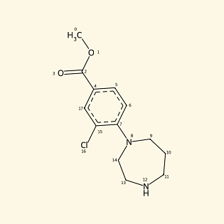 COC(=O)c1ccc(N2CCCNCC2)c(Cl)c1